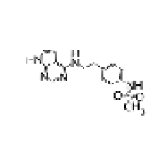 CS(=O)(=O)Nc1ccc(CCNc2ncnc3[nH]ccc23)cc1